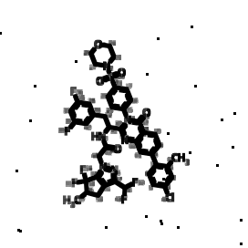 Cc1cc(Cl)ccc1-c1ccc2c(=O)n(-c3ccc(S(=O)(=O)N4CCOCC4)cc3)c(C(Cc3cc(F)cc(F)c3)NC(=O)Cn3nc(C(F)F)c4c3C(F)(F)C(C)C4)nc2c1